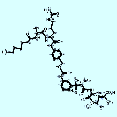 CN[C@H](C(=O)N[C@H](C(=O)N(C)[C@H](/C=C(\C)C(=O)O)C(C)C)C(C)(C)C)C(C)(C)c1cccc(NC(=O)OCc2ccc(NC(=O)[C@H](CCCNC(N)=O)NC(=O)[C@@H](NC(=O)CCCCCN)C(C)C)cc2)c1